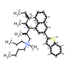 C=C(C[N+](C)(CCC)CCCC)/C(=C(C)/C=C\C)c1cc(-c2cc3ccccc3s2)cc2cccc(C)c12